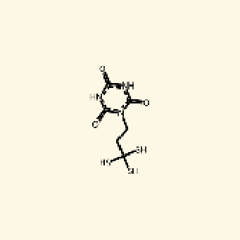 O=c1[nH]c(=O)n(CCC(S)(S)S)c(=O)[nH]1